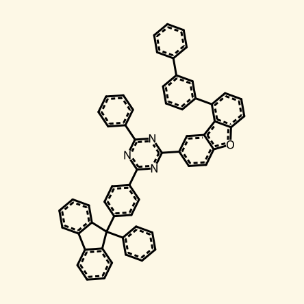 c1ccc(-c2cccc(-c3cccc4oc5ccc(-c6nc(-c7ccccc7)nc(-c7ccc(C8(c9ccccc9)c9ccccc9-c9ccccc98)cc7)n6)cc5c34)c2)cc1